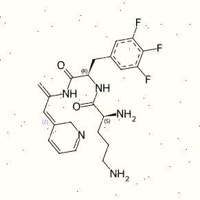 C=C(/C=C1/C=CC=NC1)NC(=O)[C@@H](Cc1cc(F)c(F)c(F)c1)NC(=O)[C@@H](N)CCCN